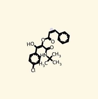 CC(C)(C)NC(=O)C(OC(=O)/C=C\c1ccccc1)=C(O)c1ccc(Cl)cc1